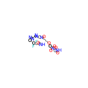 O=C1CCC(N2C(=O)c3ccc(OCCCCCC(=O)N4CCC(n5cc(-c6cnc7cccc(-c8cc(F)c(CC9CNCCO9)c(F)c8)c7n6)cn5)CC4)cc3C2=O)C(=O)N1